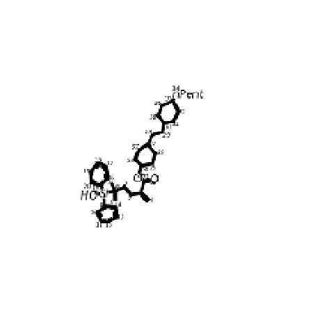 C=C(CCC(C)(C)[Si](O)(c1ccccc1)c1ccccc1)C(=O)OC1CCC(CCC2CCC(CCCCC)CC2)CC1